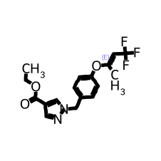 CCOC(=O)c1cnn(Cc2ccc(O/C(C)=C/C(F)(F)F)cc2)c1